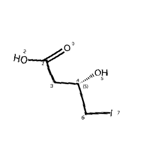 O=C(O)C[C@H](O)CI